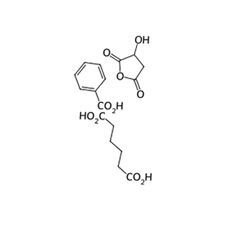 O=C(O)CCCCC(=O)O.O=C(O)c1ccccc1.O=C1CC(O)C(=O)O1